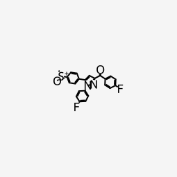 C[S+]([O-])c1ccc(-c2cc(C(=O)c3ccc(F)cc3)nn2-c2ccc(F)cc2)cc1